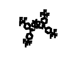 CC1(C)O[C@@H](CP(c2ccc(C(F)(F)F)cc2)c2ccc(C(F)(F)F)cc2)[C@H](CP(c2ccc(C(F)(F)F)cc2)c2ccc(C(F)(F)F)cc2)O1